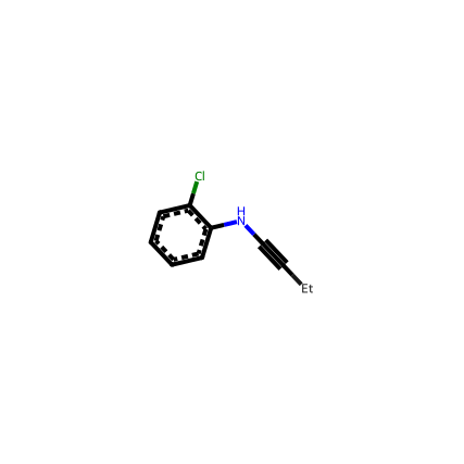 CCC#CNc1ccccc1Cl